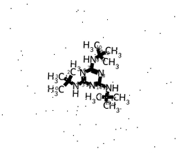 CC(C)(C)Nc1nc(NC(C)(C)C)nc(NC(C)(C)C)n1